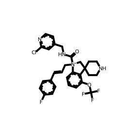 O=C(NCc1ccnc(Cl)c1)[N+]1(C/C=C/c2ccc(F)cc2)CC2(CCNCC2)c2c(OC(F)(F)F)cccc21